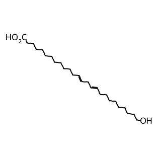 O=C(O)CCCCCCCCCCC/C=C/C/C=C/CCCCCCCCCO